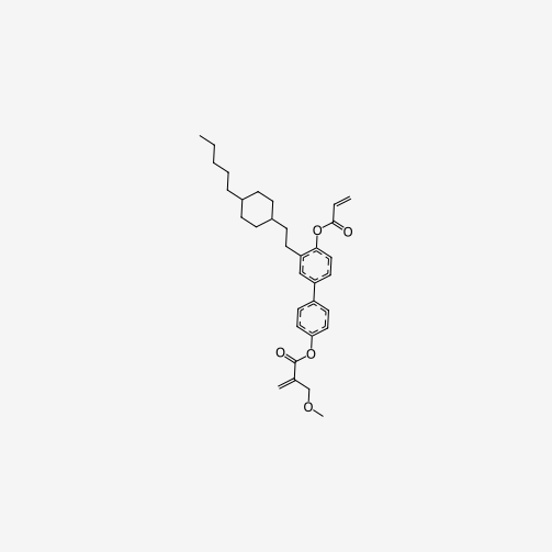 C=CC(=O)Oc1ccc(-c2ccc(OC(=O)C(=C)COC)cc2)cc1CCC1CCC(CCCCC)CC1